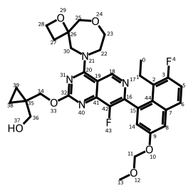 CCc1c(F)ccc2cc(OCOC)cc(-c3ncc4c(N5CCOCC6(CCO6)C5)nc(OCC5(CO)CC5)nc4c3F)c12